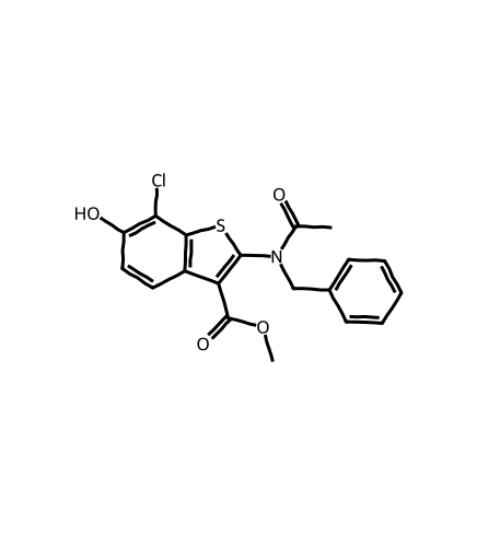 COC(=O)c1c(N(Cc2ccccc2)C(C)=O)sc2c(Cl)c(O)ccc12